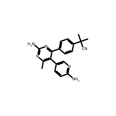 Cc1nc(N)nc(-c2ccc(C(C)(C)C#N)cc2)c1-c1ccc(N)nc1